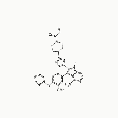 C=CC(=O)N1CCC(n2cc(-c3c(-c4ccc(Oc5ccccn5)c(OC)c4)c4c(N)ncnc4n3C)cn2)CC1